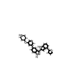 c1csc(-c2cccc3[nH]c(-c4n[nH]c5ccc(-c6cncc(OC7CCNCC7)c6)cc45)cc23)c1